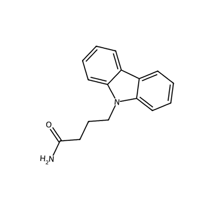 NC(=O)CCCn1c2ccccc2c2ccccc21